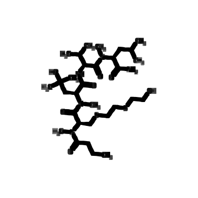 CCCC(=O)N(C)[C@H](CSCCSCCO)C(=O)N(C)[C@@H](CC(C)(C)O)C(=O)N[C@H](C(=O)N(C)[C@@H](CC(C)C)C(N)=O)C(C)C